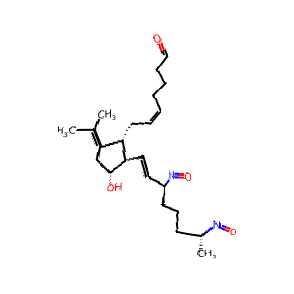 CC(C)=C1C[C@@H](O)[C@H](/C=C/[C@H](CCC[C@@H](C)N=O)N=O)[C@H]1C/C=C\CCCC=O